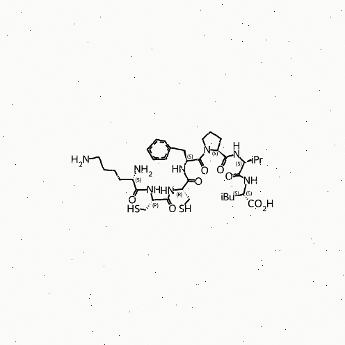 CC[C@H](C)[C@H](NC(=O)[C@@H](NC(=O)[C@@H]1CCCN1C(=O)[C@H](Cc1ccccc1)NC(=O)[C@H](CS)NC(=O)[C@H](CS)NC(=O)[C@@H](N)CCCCN)C(C)C)C(=O)O